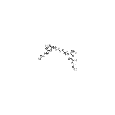 CCOCCNC(=O)N=C(N)NCCCCCCNC(N)=NC(=O)NCCOCC